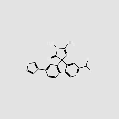 CN1C(=O)C(c2ccnc(C(F)F)c2)(c2cc(-c3ccsc3)ccc2F)N=C1N